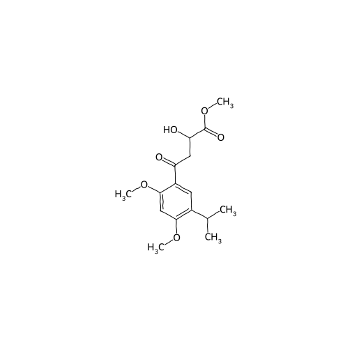 COC(=O)C(O)CC(=O)c1cc(C(C)C)c(OC)cc1OC